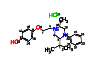 CC(C)C1CN(CCOc2ccc(O)cc2)C(C)CN1c1ccccc1.Cl